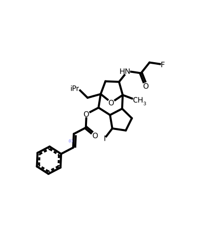 CC(C)CC12CC(NC(=O)CF)C(C)(O1)C1CCC(I)C1C2OC(=O)/C=C/c1ccccc1